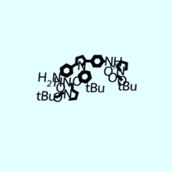 CC(C)(C)OC(=O)N1CCCC1C(=O)Nc1cc(C2CCC(c3ccc(NC(=O)[C@@H]4CCCN4C(=O)OC(C)(C)C)cc3)N2c2ccc(C(C)(C)C)cc2)ccc1N